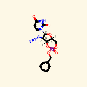 C[C@@]1(N=[N+]=[N-])[C@@H]2OP(=O)(OCc3ccccc3)OC[C@H]2O[C@H]1n1ccc(=O)[nH]c1=O